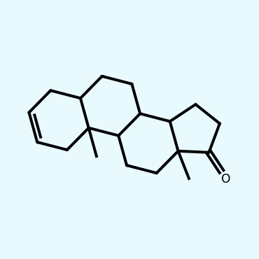 CC12CCC3C(CCC4CC=CCC43C)C1CCC2=O